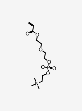 C=CC(=O)OCCOCCOP(=O)([O-])OCC[N+](C)(C)C